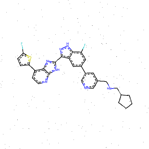 Fc1ccc(-c2ccnc3[nH]c(-c4n[nH]c5c(F)cc(-c6cncc(CNCC7CCCC7)c6)cc45)nc23)s1